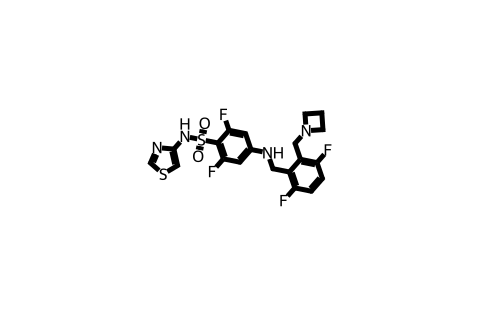 O=S(=O)(Nc1cscn1)c1c(F)cc(NCc2c(F)ccc(F)c2CN2CCC2)cc1F